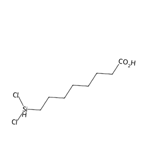 O=C(O)CCCCCCC[SiH](Cl)Cl